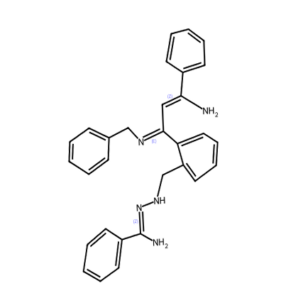 N/C(=C\C(=N/Cc1ccccc1)c1ccccc1CN/N=C(\N)c1ccccc1)c1ccccc1